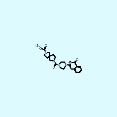 CC(C)(C)OC(=O)N1CCC2(CCN(C(=O)N3CCN(c4nc5ccccc5c(=O)[nH]4)CC3)C2)C1